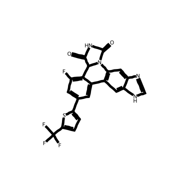 O=C1NC(=O)N2c3cc4nc[nH]c4cc3-c3cc(-c4ccc(C(F)(F)F)s4)cc(F)c3C12